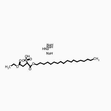 CCCCCCCCCCCCCCCCCCOC(=O)C(CC(=O)OCC)S(=O)(=O)O.[NaH].[NaH].[NaH].[NaH]